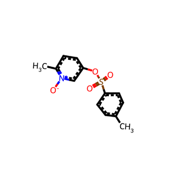 Cc1ccc(S(=O)(=O)Oc2ccc(C)[n+]([O-])c2)cc1